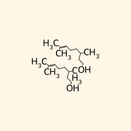 CC(C)=CCCC(C)CCO.CC(C)=CCCC(C)CCO